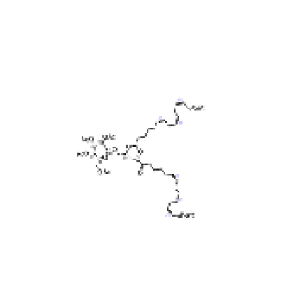 CCCCC/C=C\C/C=C\C/C=C\CCCCC(=O)OC[C@H](CO[C@@H]1O[C@H](COC(C)=O)[C@H](OC(C)=O)[C@H](OC(C)=O)[C@H]1OC(C)=O)OC(=O)CCCC/C=C\C/C=C\C/C=C\CCCCC